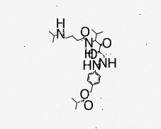 CC(C)NCCCC(=O)N[C@H](C(=O)C(=O)[C@H](C)NNc1ccc(COC(=O)C(C)C)cc1)C(C)C